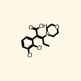 CCC(=C(C(=O)O)c1cccc(Cl)c1Cl)N1CCOCC1